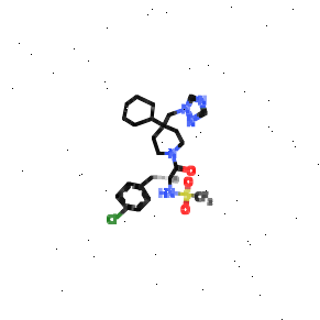 O=C([C@@H](Cc1ccc(Cl)cc1)NS(=O)(=O)C(F)(F)F)N1CCC(Cn2cncn2)(C2CCCCC2)CC1